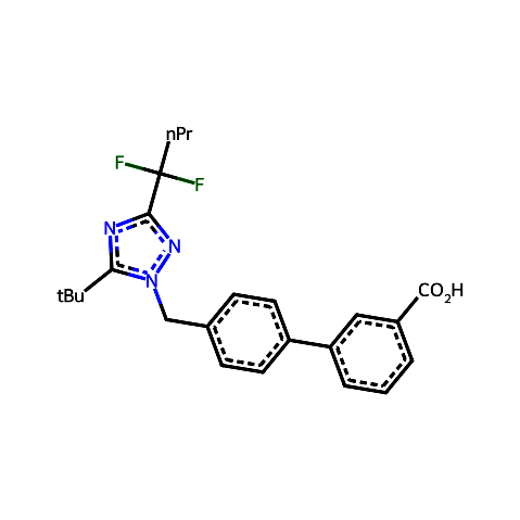 CCCC(F)(F)c1nc(C(C)(C)C)n(Cc2ccc(-c3cccc(C(=O)O)c3)cc2)n1